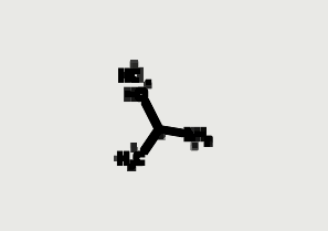 Cl.[CH2]C(N)O